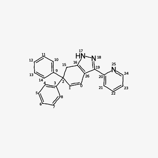 C1=CC(c2ccccc2)(c2ccccc2)Cc2[nH]nc(-c3ccccn3)c21